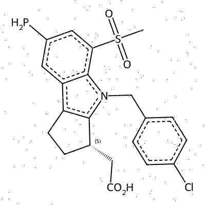 CS(=O)(=O)c1cc(P)cc2c3c(n(Cc4ccc(Cl)cc4)c12)[C@H](CC(=O)O)CC3